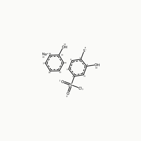 O=S(=O)(Cl)c1ccc([S-])c(O)c1.Oc1ccccc1.[Na+]